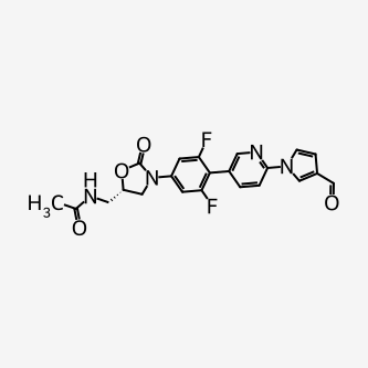 CC(=O)NC[C@H]1CN(c2cc(F)c(-c3ccc(-n4ccc(C=O)c4)nc3)c(F)c2)C(=O)O1